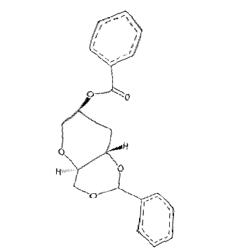 O=C(O[C@@H]1CO[C@@H]2COC(c3ccccc3)O[C@H]2C1)c1ccccc1